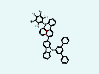 [2H]c1c([2H])c([2H])c(N(c2ccccc2)c2ccccc2-c2ccc(-c3ccc4c5ccccc5n(-c5cc(-c6ccccc6)cc(-c6ccccc6)c5)c4c3)cc2)c([2H])c1[2H]